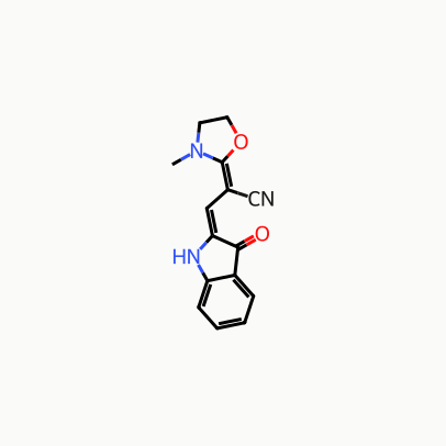 CN1CCO/C1=C(C#N)/C=C1/Nc2ccccc2C1=O